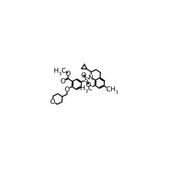 COC(=O)c1cc(S(=O)(=O)N2c3c(C)cc(C)cc3CCC2C2CC2)ccc1OCC1CCOCC1